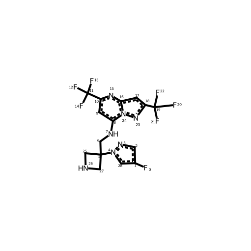 Fc1cnn(C2(CNc3cc(C(F)(F)F)nc4cc(C(F)(F)F)nn34)CNC2)c1